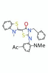 CNc1ccc(C(C)=O)cc1N=C1SC(=C2Sc3ccccc3N2C)C(=O)N1Cc1ccccc1